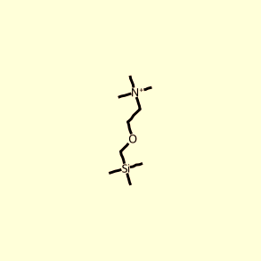 C[N+](C)(C)CCOC[Si](C)(C)C